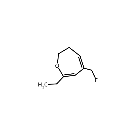 CCC1=CC(CF)=CCCO1